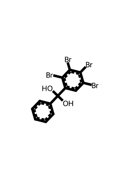 OC(O)(c1ccccc1)c1cc(Br)c(Br)c(Br)c1Br